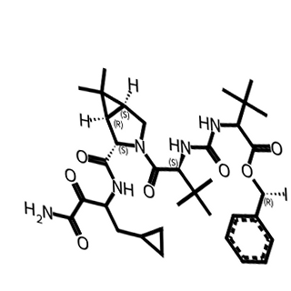 CC(C)(C)C(NC(=O)N[C@H](C(=O)N1C[C@H]2[C@@H]([C@H]1C(=O)NC(CC1CC1)C(=O)C(N)=O)C2(C)C)C(C)(C)C)C(=O)O[C@H](I)c1ccccc1